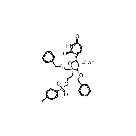 CC(=O)O[C@H]1[C@H](n2ccc(=O)[nH]c2=O)O[C@](CCOS(=O)(=O)c2ccc(C)cc2)(COCc2ccccc2)[C@H]1OCc1ccccc1